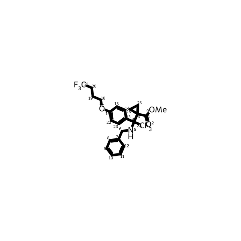 COC(=O)C1(C(NCc2ccccc2)(c2ccc(OCCCC(F)(F)F)cc2)C(F)(F)F)CC1